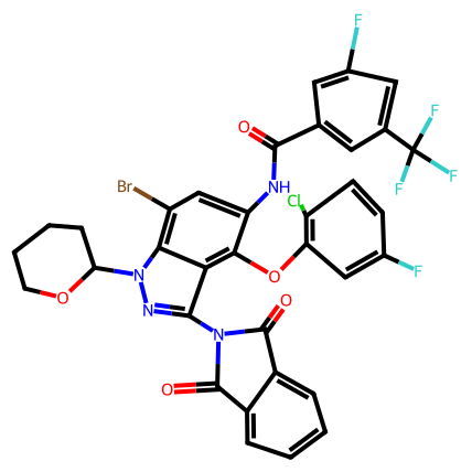 O=C(Nc1cc(Br)c2c(c(N3C(=O)c4ccccc4C3=O)nn2C2CCCCO2)c1Oc1cc(F)ccc1Cl)c1cc(F)cc(C(F)(F)F)c1